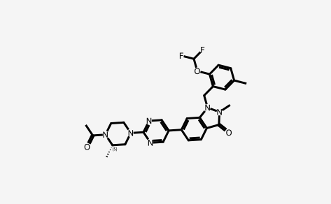 CC(=O)N1CCN(c2ncc(-c3ccc4c(=O)n(C)n(Cc5cc(C)ccc5OC(F)F)c4c3)cn2)C[C@@H]1C